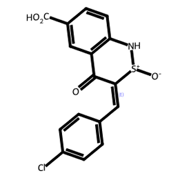 O=C(O)c1ccc2c(c1)C(=O)/C(=C\c1ccc(Cl)cc1)[S+]([O-])N2